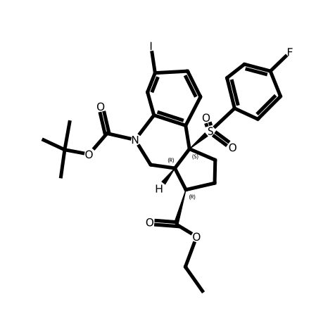 CCOC(=O)[C@@H]1CC[C@@]2(S(=O)(=O)c3ccc(F)cc3)c3ccc(I)cc3N(C(=O)OC(C)(C)C)C[C@@H]12